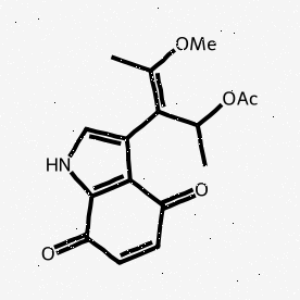 COC(C)=C(c1c[nH]c2c1C(=O)C=CC2=O)C(C)OC(C)=O